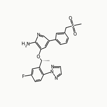 C[C@@H](Oc1cc(-c2cccc(CS(C)(=O)=O)c2)cnc1N)c1cc(F)ccc1-n1nccn1